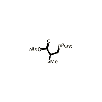 CCCCCCC(SC)C(=O)OC